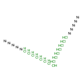 Cl.Cl.Cl.Cl.Cl.Cl.Cl.Cl.Cl.Cl.Cl.Cl.Cl.Cl.Cl.[Ni].[Ni].[Ni].[Ni].[Ni].[Ni].[Ni].[Ni].[Ni].[Ni]